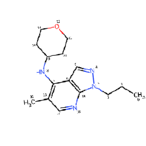 CCCn1ncc2c(NC3CCOCC3)c(C)cnc21